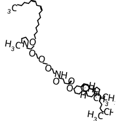 CCCCC/C=C\C/C=C\CCCCCCCCOCC(CN1CCCC1C)OCCOCCOCCNC(=O)CCC(=O)O[C@H]1CC[C@@]2(C)C(=CC[C@H]3[C@@H]4CC[C@H]([C@H](C)CCCC(C)C)[C@@]4(C)CC[C@@H]32)C1